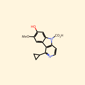 COc1cc2c3c(C4CC4)nccc3n(C(=O)O)c2cc1O